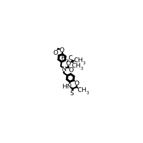 CC1Oc2ccc(CN(Cc3ccc4c(c3)OCO4)C(=O)OC(C)(C)C)cc2NC1=S